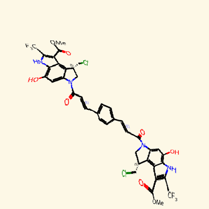 COC(=O)c1c(C(F)(F)F)[nH]c2c(O)cc3c(c12)[C@H](CCl)CN3C(=O)/C=C/c1ccc(/C=C/C(=O)N2C[C@@H](CCl)c3c2cc(O)c2[nH]c(C(F)(F)F)c(C(=O)OC)c32)cc1